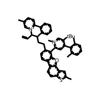 C=CC1C(CCc2ccc3c(oc4c5cc(C)sc5ccc34)c2-c2cc(-c3c(C)cccc3C)c(C(C)(C)C)c[n+]2C)c2ccccc2-c2ccc(C)c[n+]21